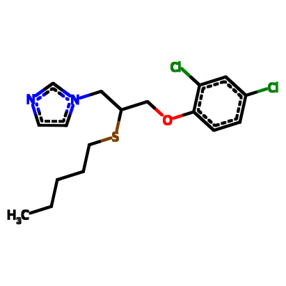 CCCCCSC(COc1ccc(Cl)cc1Cl)Cn1ccnc1